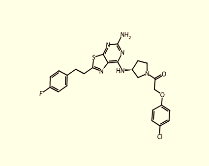 Nc1nc(N[C@H]2CCN(C(=O)COc3ccc(Cl)cc3)C2)c2nc(CCc3ccc(F)cc3)sc2n1